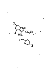 CCOC(=O)c1[nH]c2cc(Cl)cc(Cl)c2c1NCC(=O)c1ccc(Cl)cc1